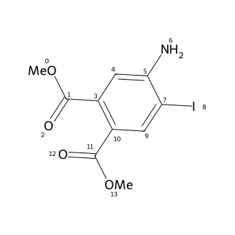 COC(=O)c1cc(N)c(I)cc1C(=O)OC